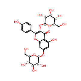 O=c1c(O[C@@H]2O[C@H](CO)[C@@H](O)[C@H](O)[C@H]2O)c(-c2ccc(O)cc2)oc2cc(O[C@@H]3O[C@H](CO)[C@@H](O)[C@H](O)[C@H]3O)cc(O)c12